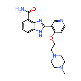 CN1CCN(CCOc2ccncc2-c2nc3c(C(N)=O)cccc3[nH]2)CC1